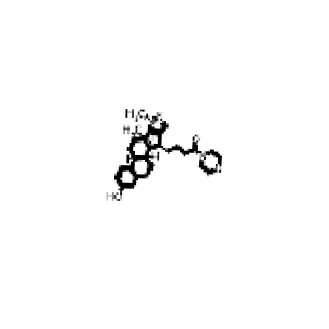 Cn1ncc2c1[C@@]1(C)CC[C@@H]3c4ccc(O)cc4CC[C@H]3[C@@H]1[C@@H]2CCCC(=O)N1CCOCC1